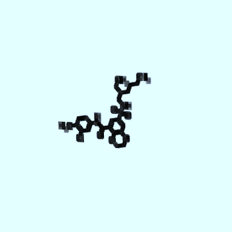 CCCCC(CC)CNS(=O)(=O)c1cc2c(c(C(=O)Nc3ccc(C)c(Cl)c3)c1)OCCO2